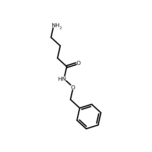 NCCCC(=O)NOCc1ccccc1